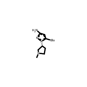 CN1CC[C@@H](n2nc(N)cc2C(C)(C)C)C1